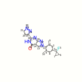 Cc1cc(C2(F)CC2)cc(C)c1-n1cc2c(=O)[nH]c(-c3ccn(C)n3)nc2n1